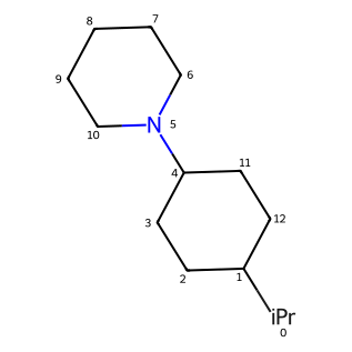 CC(C)C1CCC(N2CCCCC2)CC1